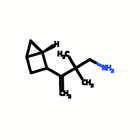 C=C(C1CC2C[C@@H]21)C(C)(C)CN